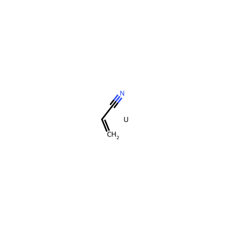 C=CC#N.[U]